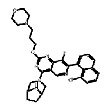 Fc1c(-c2cccc3cccc(Cl)c23)ncc2c(N3CC4CCC(C3)N4)nc(OCCCN3CCOCC3)nc12